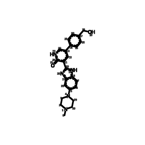 CN1CCN(c2ccc3[nH]c(-c4cc(-c5ccc(CO)cc5)c[nH]c4=O)nc3c2)CC1